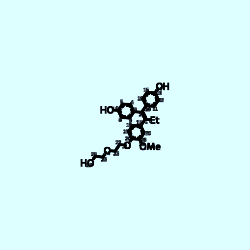 CCC(=C(c1ccc(O)cc1)c1ccc(O)cc1)c1ccc(OCCOCCO)c(OC)c1